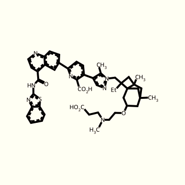 CCC1(Cn2ncc(-c3ccc(-c4ccc5nccc(C(=O)Nc6nc7ccccc7s6)c5c4)nc3C(=O)O)c2C)CC2(C)CC3(C)CC(OCCN(C)CCC(=O)O)CC21C3